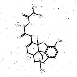 COc1ccc2c3c1O[C@H]1C(OC(=O)[C@H](C)OC(=O)[C@H](C)OC(C)=O)=CC[C@]4(O)C(C2)N(C)CC[C@]314